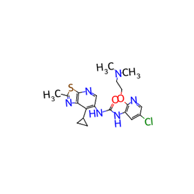 Cc1nc2c(C3CC3)c(NC(=O)Nc3cc(Cl)cnc3OCCN(C)C)cnc2s1